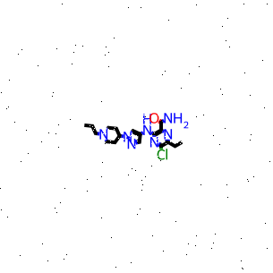 CCCN1CCC(n2cc(Nc3nc(Cl)c(CC)nc3C(N)=O)cn2)CC1